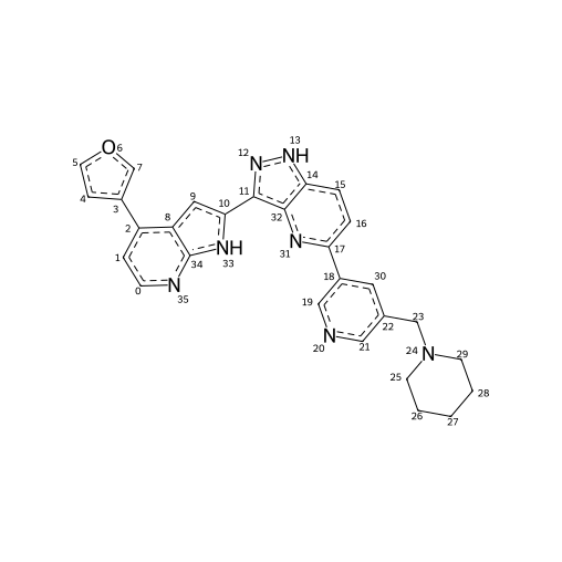 c1cc(-c2ccoc2)c2cc(-c3n[nH]c4ccc(-c5cncc(CN6CCCCC6)c5)nc34)[nH]c2n1